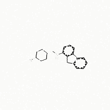 N[C@H]1CC[C@H](CNc2cccc3c2Cc2ccccc2-3)CC1